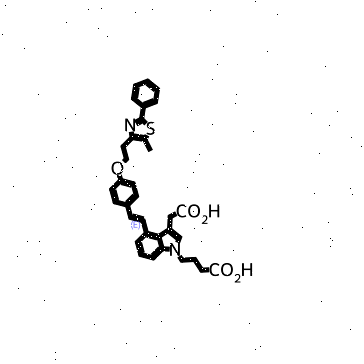 Cc1sc(-c2ccccc2)nc1CCOc1ccc(/C=C/c2cccc3c2c(CC(=O)O)cn3CCCC(=O)O)cc1